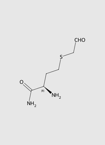 NC(=O)[C@H](N)CCSCC=O